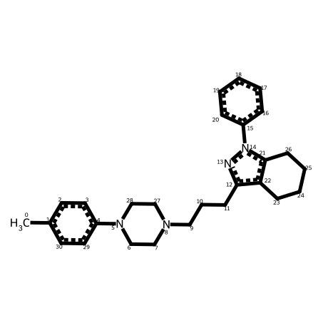 Cc1ccc(N2CCN(CCCc3nn(-c4ccccc4)c4c3CCCC4)CC2)cc1